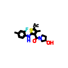 CC(=O)c1sc(Nc2ccc(C)cc2F)c(C(=O)N2CC[C@H](O)C2)c1C